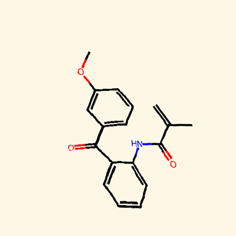 C=C(C)C(=O)Nc1ccccc1C(=O)c1cccc(OC)c1